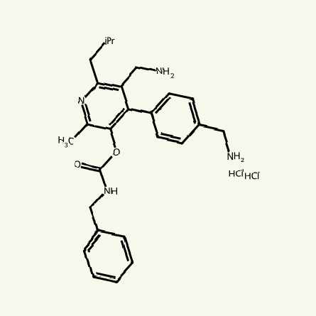 Cc1nc(CC(C)C)c(CN)c(-c2ccc(CN)cc2)c1OC(=O)NCc1ccccc1.Cl.Cl